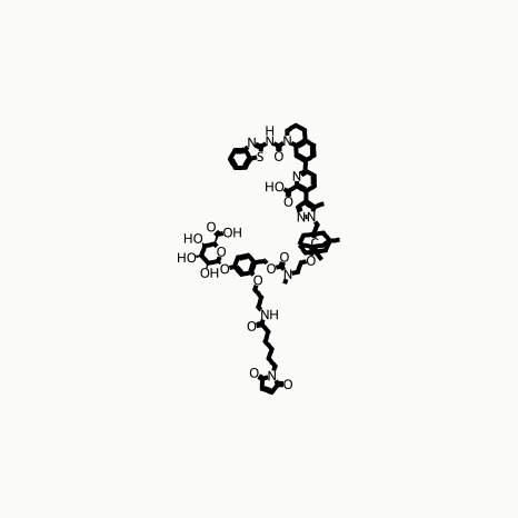 Cc1c(-c2ccc(-c3ccc4c(c3)N(C(=O)Nc3nc5ccccc5s3)CCC4)nc2C(=O)O)cnn1CC12CC3CC(C)(CC(C)(CC3OCCN(C)C(=O)OCc3ccc(O[C@@H]4O[C@H](C(=O)O)[C@@H](O)[C@H](O)[C@H]4O)cc3OCCCNC(=O)CCCCCN3C(=O)C=CC3=O)C1)C2